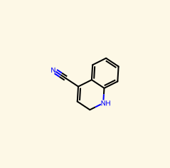 N#CC1=CCNc2ccccc21